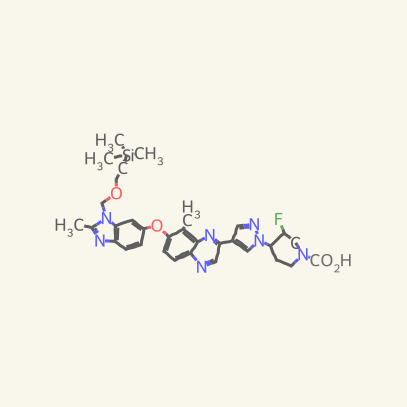 Cc1c(Oc2ccc3nc(C)n(COCC[Si](C)(C)C)c3c2)ccc2ncc(-c3cnn(C4CCN(C(=O)O)CC4F)c3)nc12